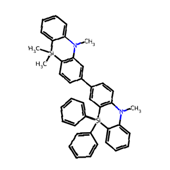 CN1c2ccccc2[Si](C)(C)c2ccc(-c3ccc4c(c3)[Si](c3ccccc3)(c3ccccc3)c3ccccc3N4C)cc21